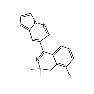 CC1(C)Cc2c(I)cccc2C(c2cnn3cccc3c2)=N1